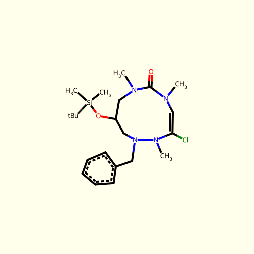 CN1/C=C(/Cl)N(C)N(Cc2ccccc2)CC(O[Si](C)(C)C(C)(C)C)CN(C)C1=O